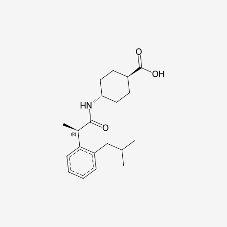 CC(C)Cc1ccccc1[C@@H](C)C(=O)N[C@H]1CC[C@H](C(=O)O)CC1